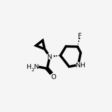 NC(=O)N(C1CC1)[C@H]1CNC[C@@H](F)C1